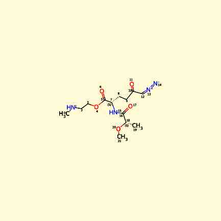 CNCCOC(=O)[C@H](CCC(=O)C=[N+]=[N-])NC(=O)[C@H](C)OC